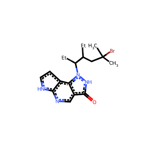 CCC(CC(C)(C)Br)C(CC)n1[nH]c(=O)c2cnc3[nH]ccc3c21